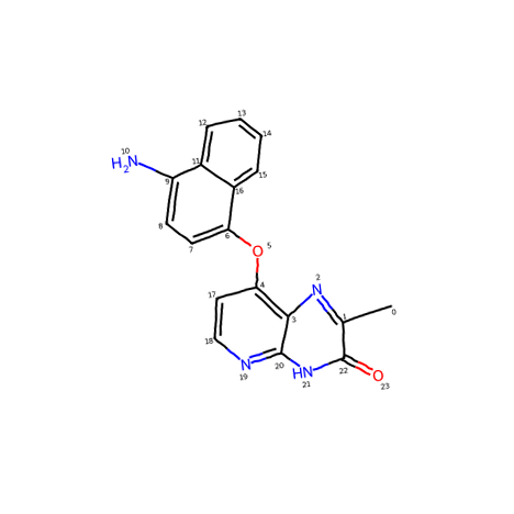 Cc1nc2c(Oc3ccc(N)c4ccccc34)ccnc2[nH]c1=O